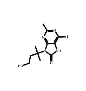 Cc1nc(Cl)c2[nH]c(=O)n(C(C)(C)CCO)c2n1